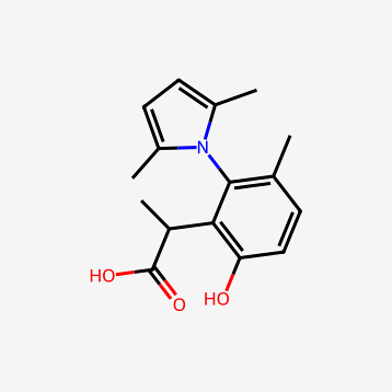 Cc1ccc(O)c(C(C)C(=O)O)c1-n1c(C)ccc1C